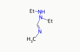 CCNN(C=NC)CC